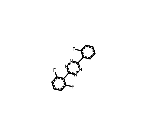 Fc1ccccc1-c1nnc(-c2c(F)cccc2F)nn1